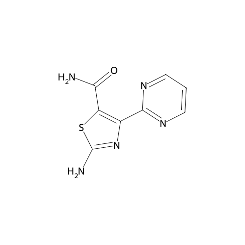 NC(=O)c1sc(N)nc1-c1ncccn1